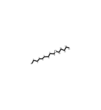 CCCCCCCCCOCCCCC